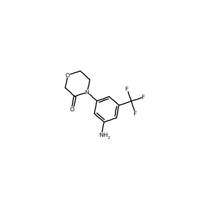 Nc1cc(N2CCOCC2=O)cc(C(F)(F)F)c1